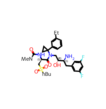 CCCCS(=O)(=O)C[C@@H](NC(=O)NC)C(=O)N(C[C@@H](O)[C@@H](N)Cc1cc(F)cc(F)c1)C1(c2cccc(CC)c2)CC1